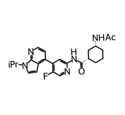 CC(=O)N[C@@H]1CCC[C@H](C(=O)Nc2cc(-c3ccnc4c3ccn4C(C)C)c(F)cn2)C1